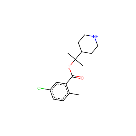 Cc1ccc(Cl)cc1C(=O)OC(C)(C)C1CCNCC1